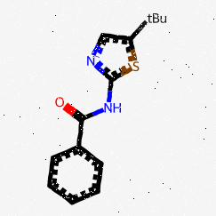 CC(C)(C)c1cnc(NC(=O)c2ccccc2)s1